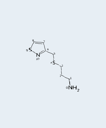 NCCCSCc1ccsn1